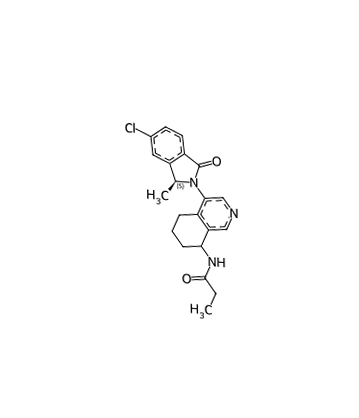 CCC(=O)NC1CCCc2c1cncc2N1C(=O)c2ccc(Cl)cc2[C@@H]1C